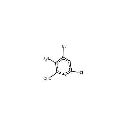 CCc1cc(Cl)nc(C=O)c1N